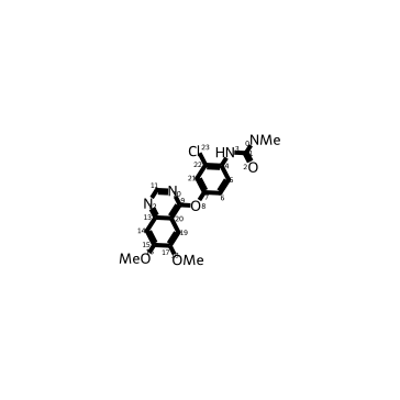 CNC(=O)Nc1ccc(Oc2ncnc3cc(OC)c(OC)cc23)cc1Cl